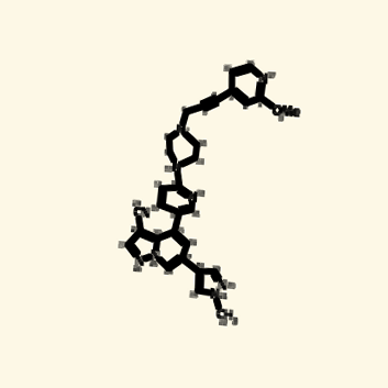 COc1cc(C#CCN2CCN(c3ccc(-c4cc(-c5cnn(C)c5)cn5ncc(C#N)c45)cn3)CC2)ccn1